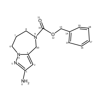 Nc1cc2n(n1)CCCN(C(=O)OCc1ccccc1)C2